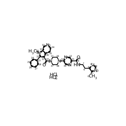 Cc1ncsc1CCNC(=O)c1cnc(N2CCN(C(=O)c3c(-c4ccccc4)n(C)c4cnccc34)CC2)cn1.Cl.Cl